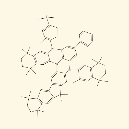 Cc1cc(C(C)(C)C)ccc1N1c2cc3c(cc2B2c4cc5c(cc4N(c4cc6c(cc4C)C(C)(C)CCC6(C)C)c4cc(-c6ccccc6)cc1c42)C(C)(C)c1cc2c(cc1-5)C(C)(C)CCC2(C)C)C(C)(C)CCC3(C)C